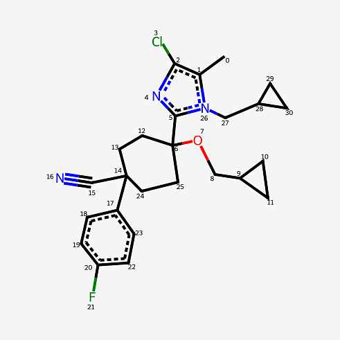 Cc1c(Cl)nc(C2(OCC3CC3)CCC(C#N)(c3ccc(F)cc3)CC2)n1CC1CC1